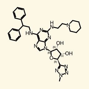 Cn1nnc([C@H]2O[C@@H](n3cnc4c(NCC(c5ccccc5)c5ccccc5)nc(NCCN5CCCCC5)nc43)[C@H](O)[C@@H]2O)n1